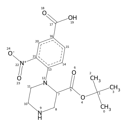 CC(C)(C)OC(=O)C1CNCCN1c1ccc(C(=O)O)cc1[N+](=O)[O-]